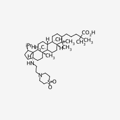 CC(C)[C@@H]1CC[C@]2(NCCN3CCS(=O)(=O)CC3)CC[C@]3(C)[C@H](CC[C@@H]4[C@@]5(C)CCC(CCCC(C)(C)C(=O)O)C(C)(C)[C@@H]5CC[C@]43C)[C@@H]12